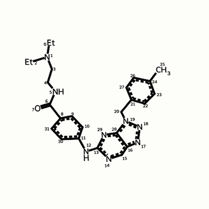 CCN(CC)CCNC(=O)c1ccc(Nc2ncc3nnn(Cc4ccc(C)cc4)c3n2)cc1